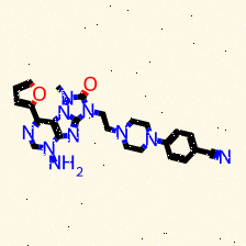 Cn1c(=O)n(CCN2CCN(c3ccc(C#N)cc3)CC2)c2nc3c(n21)C(c1ccco1)=NCN3N